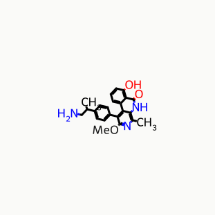 COc1nc(C)c2[nH]c(=O)c3c(O)cccc3c2c1-c1ccc(C(C)CN)cc1